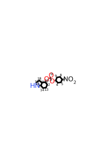 O=C(Oc1ccc([N+](=O)[O-])cc1)Oc1cccc2[nH]ccc12